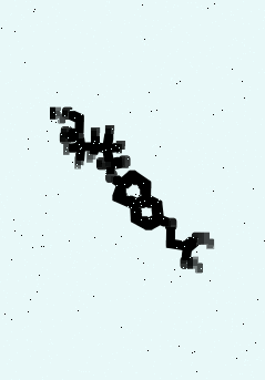 C=C(C)COc1ccc2cc(OS(=O)(=O)C(F)(F)C(F)(F)C(F)(F)S(=O)(=O)CC)ccc2c1